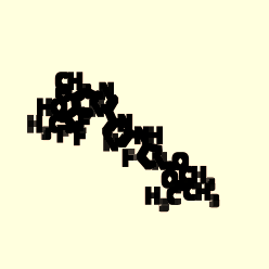 COc1cc2ncc(-c3cncc(N[C@H]4CN(C(=O)OC(C)(C)C)C[C@@H]4F)n3)n2cc1C(C)(O)C(F)(F)F